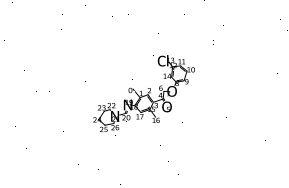 Cc1cc(C(=O)COc2cccc(Cl)c2)c(C)cc1N=CN1CCCCC1